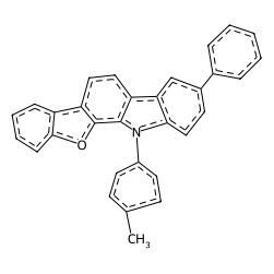 Cc1ccc(-n2c3ccc(-c4ccccc4)cc3c3ccc4c5ccccc5oc4c32)cc1